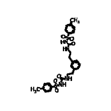 Cc1ccc(S(=O)(=O)NC(=O)NCCc2cccc(CCNC(=O)NS(=O)(=O)c3ccc(C)cc3)c2)cc1